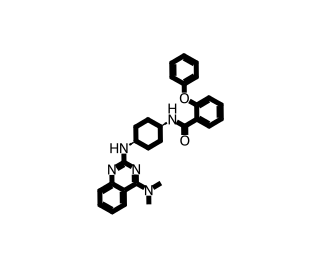 CN(C)c1nc(N[C@H]2CC[C@@H](NC(=O)c3ccccc3Oc3ccccc3)CC2)nc2ccccc12